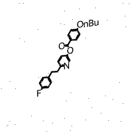 CCCCOc1ccc(C(=O)Oc2ccc(CCc3ccc(F)cc3)nc2)cc1